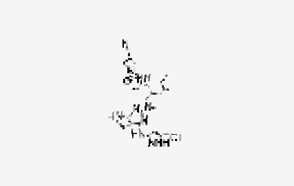 CCC(C)CC(CC(CC)N[S+]([O-])N1CC(C#N)C1)CN(C)c1nc(Nc2cc(CO)[nH]n2)c2cc[nH]c2n1